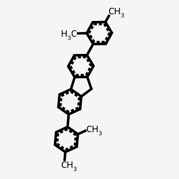 Cc1ccc(-c2ccc3c(c2)Cc2cc(-c4ccc(C)cc4C)ccc2-3)c(C)c1